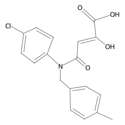 Cc1ccc(CN(C(=O)/C=C(\O)C(=O)O)c2ccc(Cl)cc2)cc1